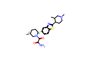 CC1CN(C)CCC1c1nc2cc([C@H]3CC[C@H](C)CN3C(=O)C(N)=O)ccc2s1